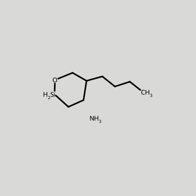 CCCCC1CC[SiH2]OC1.N